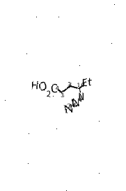 CCC(CCC(=O)O)N=[N+]=[N-]